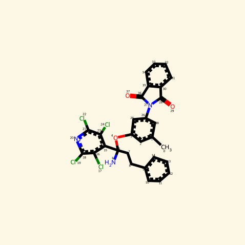 Cc1cc(OC(N)(CCc2ccccc2)c2c(Cl)c(Cl)nc(Cl)c2Cl)cc(N2C(=O)c3ccccc3C2=O)c1